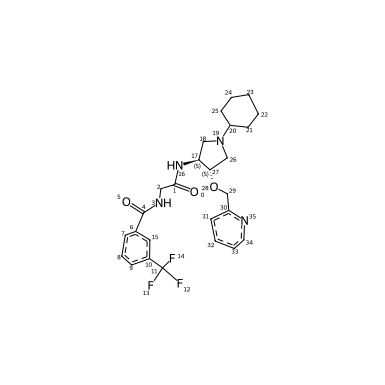 O=C(CNC(=O)c1cccc(C(F)(F)F)c1)N[C@H]1CN(C2CCCCC2)C[C@@H]1OCc1ccccn1